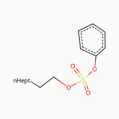 CCCCCCCCCOS(=O)(=O)Oc1ccccc1